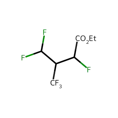 CCOC(=O)C(F)C(C(F)F)C(F)(F)F